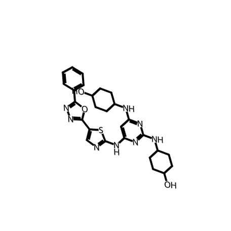 OC1CCC(Nc2cc(Nc3ncc(-c4nnc(-c5ccccc5)o4)s3)nc(NC3CCC(O)CC3)n2)CC1